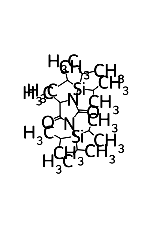 CC1C(=O)N([Si](C(C)C)(C(C)C)C(C)C)C(=O)N1[Si](C(C)C)(C(C)C)C(C)C